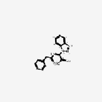 O=C(Cc1ccccc1)NC(C(=O)O)n1nnc2ccccc21